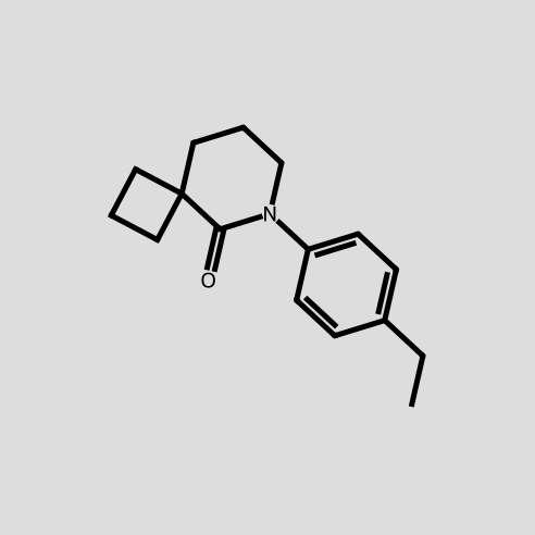 CCc1ccc(N2CCCC3(CCC3)C2=O)cc1